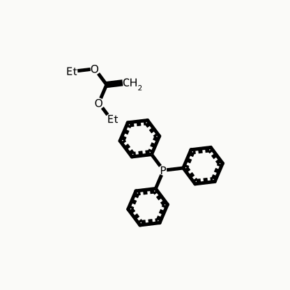 C=C(OCC)OCC.c1ccc(P(c2ccccc2)c2ccccc2)cc1